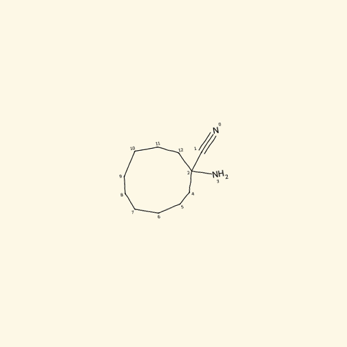 N#CC1(N)CCCCCCCCC1